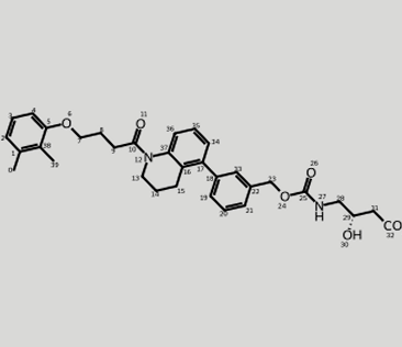 Cc1cccc(OCCCC(=O)N2CCCc3c(-c4cccc(COC(=O)NC[C@@H](O)CC(=O)O)c4)cccc32)c1C